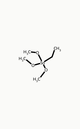 C[CH2][Sn]([O]C)([O]C)[O]C